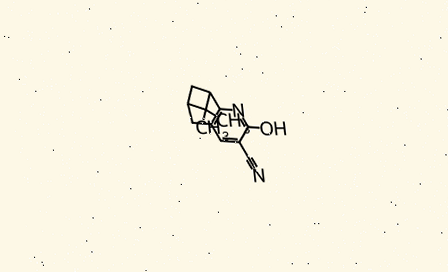 CC1(C)C2Cc3cc(C#N)c(O)nc3C1C2